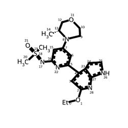 CCOc1cc(-c2cc(N3CCOC[C@H]3C)cc(N=S(C)(C)=O)n2)c2cc[nH]c2n1